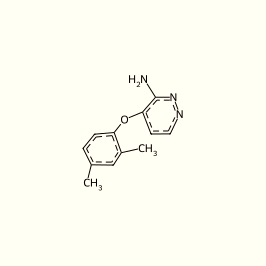 Cc1ccc(Oc2ccnnc2N)c(C)c1